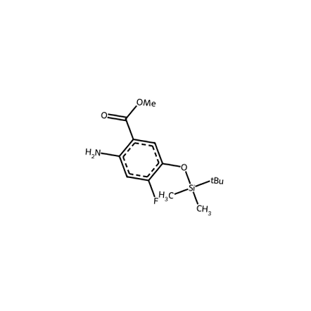 COC(=O)c1cc(O[Si](C)(C)C(C)(C)C)c(F)cc1N